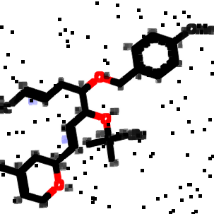 COc1ccc(COC(C/C=C/C=O)C(/C=C/[C@@H]2CC(C)=CCO2)O[Si](C)(C)C(C)(C)C)cc1